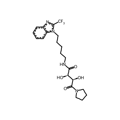 O=C(NCCCCCn1c(C(F)(F)F)nc2ccccc21)[C@H](O)[C@@H](O)C(=O)N1CCCC1